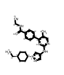 Cc1cnc(Nc2cnn([C@H]3CC[C@H](CN)CC3)c2)nc1-c1ccc(C(=O)NCC#N)cc1